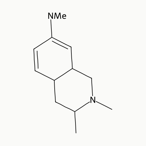 CNC1=CC2CN(C)C(C)CC2C=C1